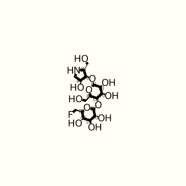 OC[C@H]1NC[C@@H](O)[C@@H]1O[C@H]1O[C@H](CO)[C@@H](O[C@@H]2O[C@H](CF)[C@@H](O)[C@H](O)[C@H]2O)[C@H](O)[C@H]1O